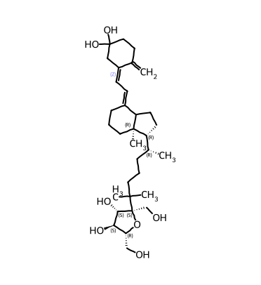 C=C1CCC(O)(O)C/C1=C/C=C1CCC[C@@]2(C)C1CC[C@@H]2[C@H](C)CCCC(C)(C)[C@@]1(CO)O[C@H](CO)[C@@H](O)[C@@H]1O